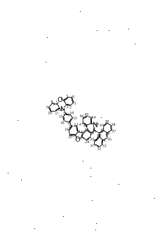 c1ccc2c(c1)Oc1ccccc1N2c1ccc(-c2ccc3oc4ccc5c(-c6c7ccccc7cc7ccccc67)nc6ccccc6c5c4c3c2)cc1